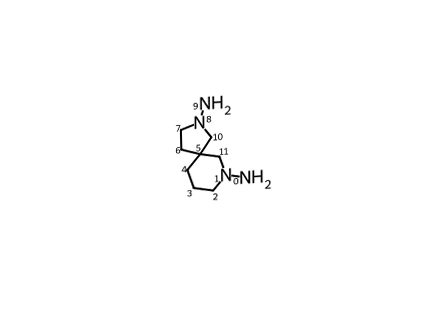 NN1CCCC2(CCN(N)C2)C1